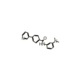 CN(C)c1cccc(NC(=O)c2ccc(-c3cccnc3)cc2)c1